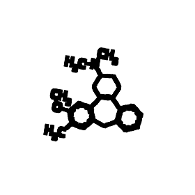 COc1cc2c(cc1C)Cc1ccccc1C1=C2CC(N(C)C)CC1